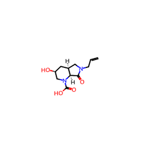 C=CCN1C[C@@H]2C[C@H](O)CN(C(=O)O)[C@@H]2C1=O